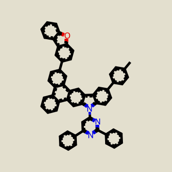 Cc1ccc(-c2ccc3c(c2)c2cc4c5cc(-c6ccc7oc8ccccc8c7c6)ccc5c5ccccc5c4cc2n3-c2cc(-c3ccccc3)nc(-c3ccccc3)n2)cc1